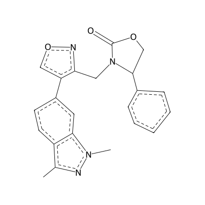 Cc1nn(C)c2cc(-c3conc3CN3C(=O)OCC3c3ccccc3)ccc12